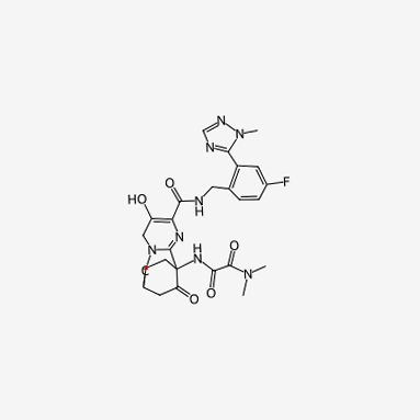 CN(C)C(=O)C(=O)NC12CCC(CC1=O)CN1CC(O)=C(C(=O)NCc3ccc(F)cc3-c3ncnn3C)N=C12